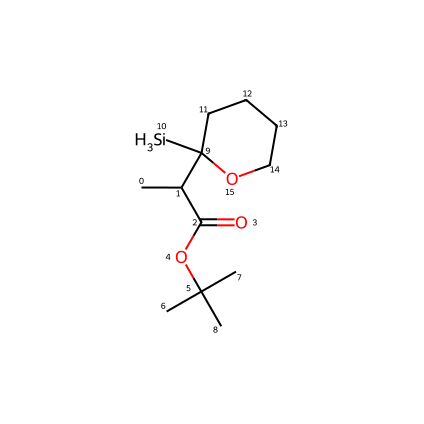 CC(C(=O)OC(C)(C)C)C1([SiH3])CCCCO1